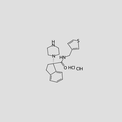 Cl.Cl.O=C(NCc1ccsc1)[C@]1(N2CCNCC2)CCc2ccccc21